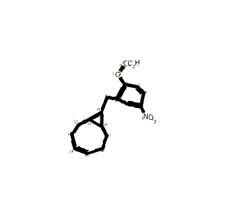 O=C(O)Oc1ccc([N+](=O)[O-])cc1CC1C2CCC=CCCC21